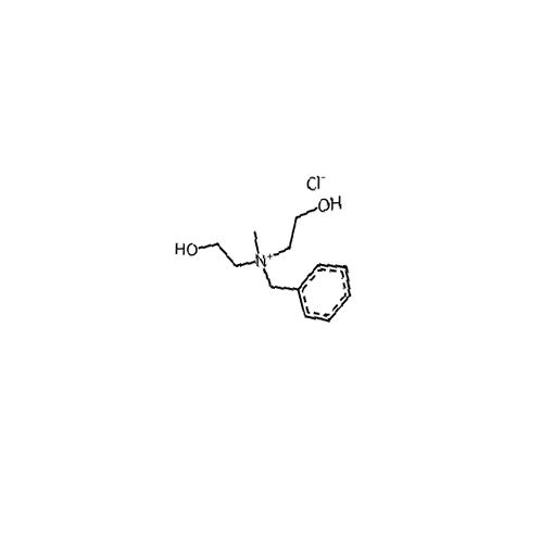 C[N+](CCO)(CCO)Cc1ccccc1.[Cl-]